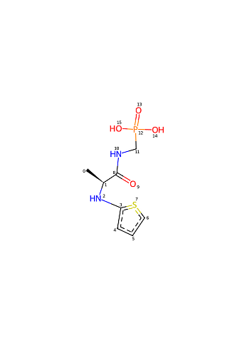 C[C@H](Nc1cccs1)C(=O)NCP(=O)(O)O